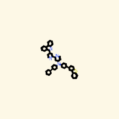 c1ccc(-c2ccc(N(c3ccc(-c4ccc5sc6ccccc6c5c4)cc3)c3ccnc(-c4cc(-c5nc6ccccc6c6ccccc56)ccn4)c3)cc2)cc1